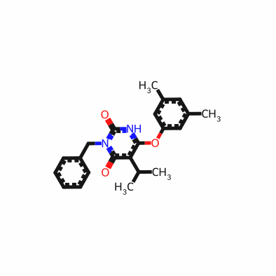 Cc1cc(C)cc(Oc2[nH]c(=O)n(Cc3ccccc3)c(=O)c2C(C)C)c1